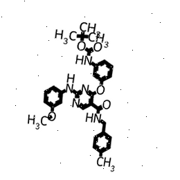 COc1cccc(Nc2ncc(C(=O)NCc3ccc(C)cc3)c(Oc3cccc(NC(=O)OC(C)(C)C)c3)n2)c1